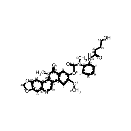 COc1cc2c(cc1OC(=O)N(C)c1ccccc1NC(=O)CCCO)c(=O)n(C)c1c3cc4c(cc3ncc21)OCO4